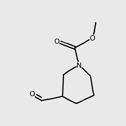 COC(=O)N1CCCC(C=O)C1